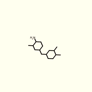 CC1CCC(CC2CCC(N)C(C)C2)CC1C